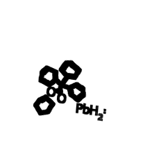 O=C(OC1=CCCCC1)C(c1ccccc1)(c1ccccc1)c1ccccc1.[PbH2]